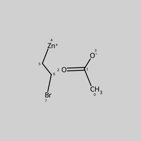 CC(=O)[O-].[Zn+][CH2]CBr